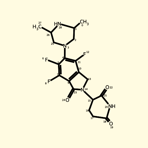 CC1CN(c2c(F)c(F)c3c(c2F)CN(C2CCC(=O)NC2=O)C3=O)CC(C)N1